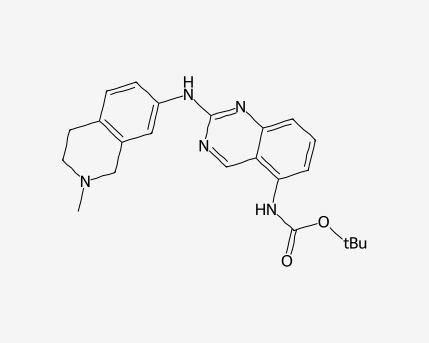 CN1CCc2ccc(Nc3ncc4c(NC(=O)OC(C)(C)C)cccc4n3)cc2C1